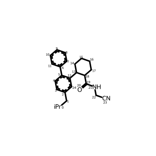 CC(C)Cc1ccc(-c2ccccc2)c(C2CCCCC2C(=O)NCC#N)c1